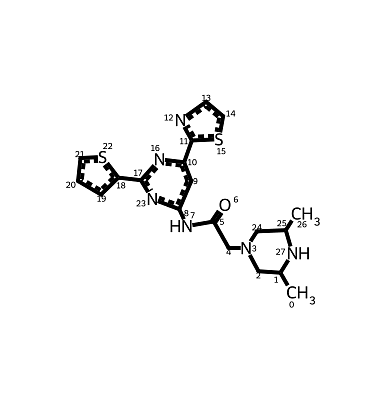 CC1CN(CC(=O)Nc2cc(-c3nccs3)nc(-c3cccs3)n2)CC(C)N1